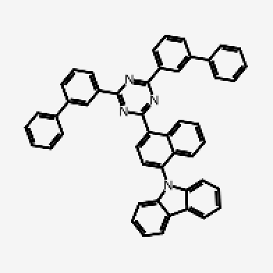 c1ccc(-c2cccc(-c3nc(-c4cccc(-c5ccccc5)c4)nc(-c4ccc(-n5c6ccccc6c6ccccc65)c5ccccc45)n3)c2)cc1